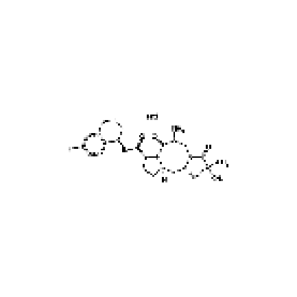 CC(C)(C)C(=O)N1CC[C@H]2CC[C@@H](C(=O)N[C@@H]3CCOc4cc(F)ccc43)N2C(=O)[C@@H](N)C1.Cl